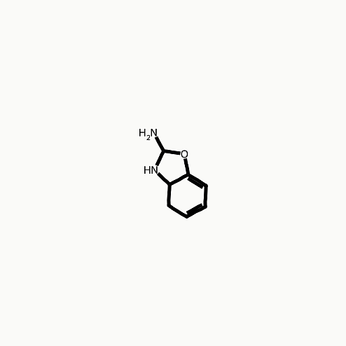 NC1NC2CC=CC=C2O1